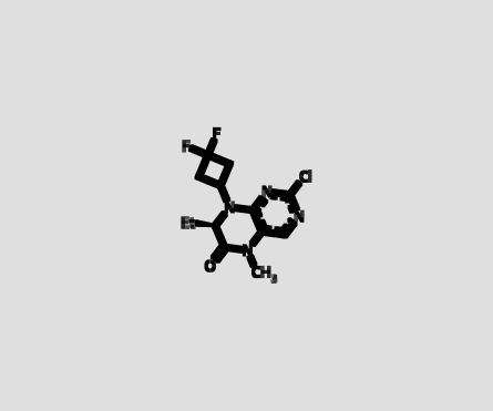 CC[C@@H]1C(=O)N(C)c2cnc(Cl)nc2N1C1CC(F)(F)C1